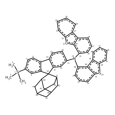 C[Si](C)(C)c1ccc2c(c1)C1(c3cc(N(c4cccc5c4oc4ccccc45)c4cccc5sc6ccccc6c45)ccc3-2)C2CC3CC(C2)CC1C3